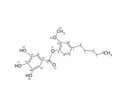 CCCCCc1ccc(OC(=O)c2cc(O)c(O)c(O)c2)c(OC)c1